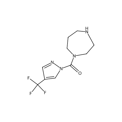 O=C(N1CCCNCC1)n1cc(C(F)(F)F)cn1